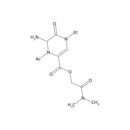 CCN1C=C(C(=O)OCC(=O)N(C)C)N(C(C)=O)C(N)C1=O